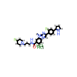 Cl.Cl.Cn1c2cc(C(=O)NCCCN3CCC(F)CC3)ccc2n2cc(-c3ccc(C4CCCN4)cc3F)nc12